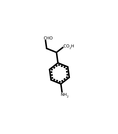 Nc1ccc(C(CC=O)C(=O)O)cc1